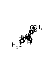 CC1CCC(Nc2cc(C(F)(F)F)cc(-c3ccc(S(C)(=O)=O)cc3)n2)CC1